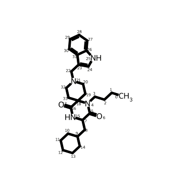 CCCCN1C(=O)C(CC2CCCCC2)NC(=O)C12CCN(Cc1c[nH]c3ccccc13)CC2